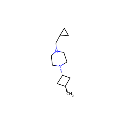 C[C@H]1C[C@H](N2CCN(CC3CC3)CC2)C1